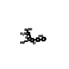 Cn1cc(C=C2C(=O)N(CCO)c3cc(Cl)c(-c4ccc(-c5ccccc5O)cc4)cc32)cc1C(=O)O